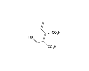 B=C/C(C(=O)O)=C(\C=C)C(=O)O